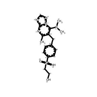 Cc1nc2ncnn2c(N(C)C)c1Cc1ccc(S(=N)(=O)CCO)cc1